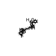 Cc1ccccc1C(=O)c1cnc(NCCCCNS(=O)(=O)c2cccc(F)c2)s1